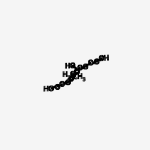 CC(C)(c1ccc(OCCOCCOCCO)cc1)c1ccc(OCCOCCOCCOCCO)c(CCO)c1